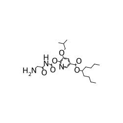 CCCCC(CCCC)OC(=O)c1cnc(OC(=O)NC(=O)CN)c(OCC(C)C)c1